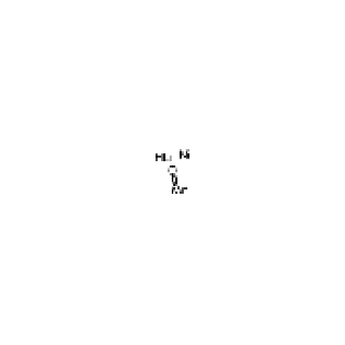 [LiH].[Ni].[O]=[Mn]